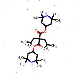 CC(C)CC(CC(C)C)(C(=O)OC1CC(C)(C)NC(C)(C)C1)C(=O)OC1CC(C)(C)NC(C)(C)C1